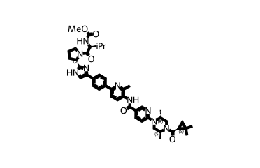 COC(=O)N[C@H](C(=O)N1CCC[C@H]1c1nc(-c2ccc(-c3ccc(NC(=O)c4ccc(N5C[C@H](C)N(C(=O)[C@H]6CC6(C)C)C[C@H]5C)nc4)c(C)n3)cc2)c[nH]1)C(C)C